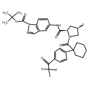 CC(C)(C)OC(=O)n1ncc2cc(NC(=O)[C@H]3C[C@@H](F)CN3C(=O)C3(c4ccc(C(=O)C(F)(F)F)cc4)CCCCC3)ccc21